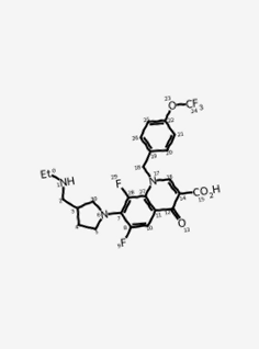 CCNCC1CCN(c2c(F)cc3c(=O)c(C(=O)O)cn(Cc4ccc(OC(F)(F)F)cc4)c3c2F)C1